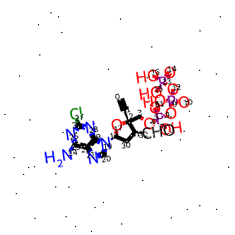 C#C[C@]1(COP(=O)(O)OP(=O)(O)OP(=O)(O)O)O[C@@H](n2cnc3c(N)nc(Cl)nc32)C[C@@H]1C=O